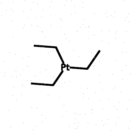 C[CH2][Pt]([CH2]C)[CH2]C